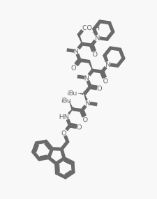 CC[C@H](C)[C@H](NC(=O)OCC1c2ccccc2-c2ccccc21)C(=O)N(C)[C@H](C(=O)N(C)[C@@H](CC(=O)N(C)[C@@H](CC(=O)O)C(=O)N1CCCCC1)C(=O)N1CCCCC1)[C@@H](C)CC